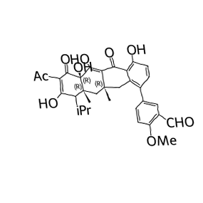 COc1ccc(-c2ccc(O)c3c2C[C@]2(C)C[C@]4(C)C(C(C)C)C(O)=C(C(C)=O)C(=O)[C@]4(O)C(O)=C2C3=O)cc1C=O